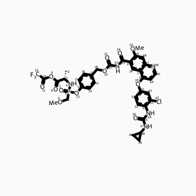 COCP(=O)(N[C@@H](C)C(=O)OC(=O)C(F)(F)F)Oc1ccc(COC(=O)NC(=O)c2cc3c(Oc4ccc(NC(=O)NC5CC5)c(Cl)c4)ccnc3cc2OC)cc1